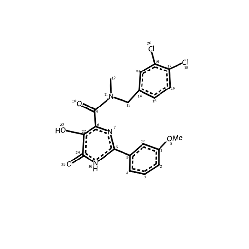 COc1cccc(-c2nc(C(=O)N(C)Cc3ccc(Cl)c(Cl)c3)c(O)c(=O)[nH]2)c1